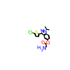 CC(C)n1nc(-c2ccc(Cl)s2)c2cc(OC(=O)CN)ccc21